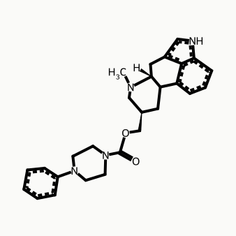 CN1C[C@H](COC(=O)N2CCN(c3ccccc3)CC2)CC2c3cccc4[nH]cc(c34)C[C@H]21